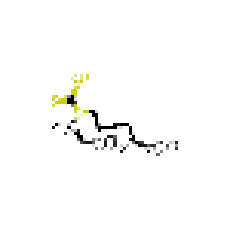 C=CC(=O)O.CCCCCCCCCCCCSC(=S)S